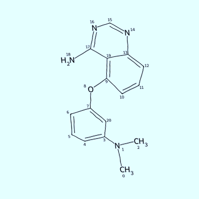 CN(C)c1cccc(Oc2cccc3ncnc(N)c23)c1